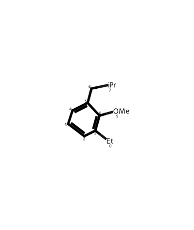 CCc1cccc(CC(C)C)c1OC